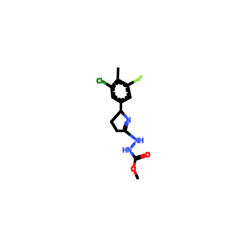 COC(=O)NNC1=NC(c2cc(F)c(C)c(Cl)c2)CC1